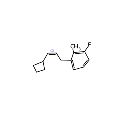 Cc1c(F)cccc1C/C=C\C1CCC1